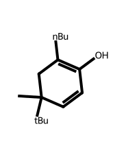 CCCCC1=C(O)C=CC(C)(C(C)(C)C)C1